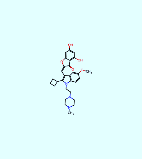 COc1ccc2c(c1)c(C=C1Oc3cc(O)cc(O)c3C1=O)c(C1CCC1)n2CCN1CCN(C)CC1